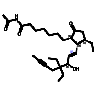 CC#CCC(CC)(CC)[C@H](O)/C=C/[C@H]1[C@H](CC)CC(=O)[C@@H]1CCCCCCC(=O)NC(C)=O